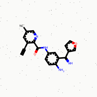 C#Cc1cc(C#N)cnc1C(=O)Nc1ccc(N)c(C(=N)c2ccoc2)c1